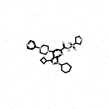 O=C(NS(=O)(=O)C1CCOC1)c1cc(N2CCN(c3ccncc3)CC2)c2c(C3CCC3)nn(C3CCCCC3)c2n1